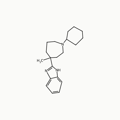 CC1(c2nc3ccccc3[nH]2)CCCN(C2CCCCC2)CC1